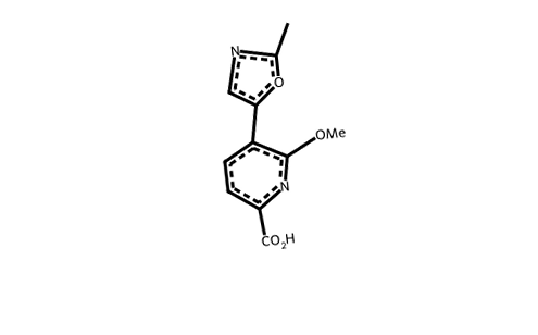 COc1nc(C(=O)O)ccc1-c1cnc(C)o1